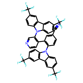 N#Cc1ccc(-n2c3ccc(C(F)(F)F)cc3c3cc(C(F)(F)F)ccc32)c(-c2ccncc2-n2c3ccc(C(F)(F)F)cc3c3cc(C(F)(F)F)ccc32)c1